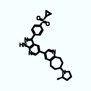 C[C@@H]1CCCN1C1CCc2cc(-c3cnc4[nH]nc(-c5ccc(S(=O)(=O)C6CC6)cc5)c4c3)cnc2CC1